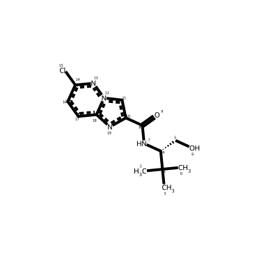 CC(C)(C)[C@@H](CO)NC(=O)c1cn2nc(Cl)ccc2n1